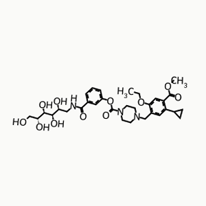 CCOc1cc(C(=O)OC)c(C2CC2)cc1CN1CCN(C(=O)Oc2cccc(C(=O)NC[C@H](O)[C@@H](O)[C@H](O)[C@H](O)CO)c2)CC1